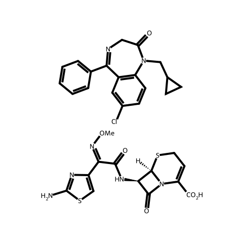 CO/N=C(\C(=O)N[C@@H]1C(=O)N2C(C(=O)O)=CCS[C@H]12)c1csc(N)n1.O=C1CN=C(c2ccccc2)c2cc(Cl)ccc2N1CC1CC1